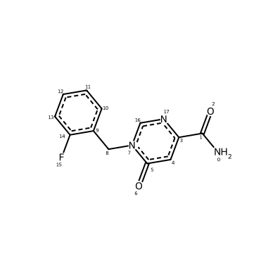 NC(=O)c1cc(=O)n(Cc2ccccc2F)cn1